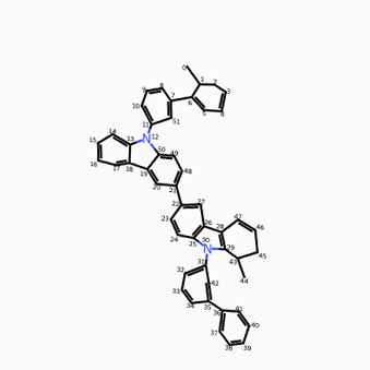 CC1CC=CC=C1c1cccc(-n2c3ccccc3c3cc(-c4ccc5c(c4)c4c(n5-c5cccc(-c6ccccc6)c5)C(C)CC=C4)ccc32)c1